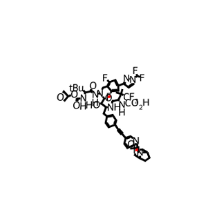 CC(C)(C)C(NC(=O)OC1COC1)C(=O)NN(Cc1c(F)cc(-c2ccn(C(F)F)n2)cc1F)CC(O)C(Cc1ccc(C#Cc2ccc(N3CC4CCC(C3)N4C3COC3)nc2)cc1)NC(=O)C(NC(=O)O)C(C)(C)C(F)(F)F